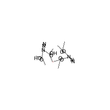 CCCCCCCCC(CCCCCC)(CCCCCCN(CCCCCCC(CCCCCC)(CCCCCCCC)C(=O)O)CCCn1ccnc1C)C(=O)O.CCCCCCCCC(CCCCCC)C(=O)OCCCCCCN(CCCCCCOC(=O)C(CCCCCC)CCCCCCCC)CCCn1ccnc1C